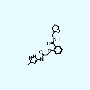 CC1C=C(NC(=O)COc2ccccc2C(=O)NC[C@H]2CCCO2)N=N1